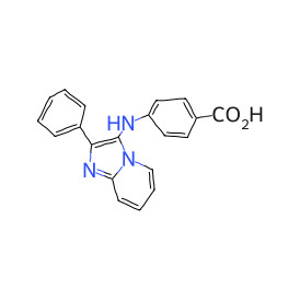 O=C(O)c1ccc(Nc2c(-c3ccccc3)nc3ccccn23)cc1